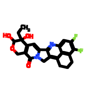 CC[C@]1(O)c2cc3n(c(=O)c2COC1O)Cc1c-3nc2cc(F)c(F)c3c2c1CCC3